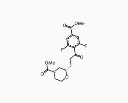 COC(=O)c1cc(F)c(C(=O)CC[C@H]2CN(C(=O)OC)CCO2)c(F)c1